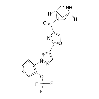 O=C(c1coc(-c2cnn(-c3ccccc3OC(F)(F)F)c2)n1)N1C[C@H]2C[C@@H]1CN2